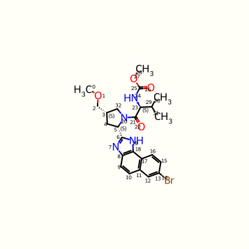 COC[C@H]1C[C@@H](c2nc3ccc4cc(Br)ccc4c3[nH]2)N(C(=O)[C@@H](NC(=O)OC)C(C)C)C1